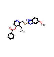 CCc1c(OC(=O)c2ccccc2)ccnc1CSc1nc2cc(OC)ccc2[nH]1